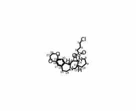 O=S(=O)(CCCCl)N1CCC[C@@H]2CN3CCc4cc5c(cc4[C@@H]3C[C@@H]21)OCCO5